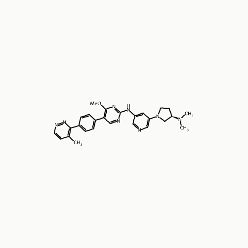 COc1nc(Nc2cncc(N3CC[C@@H](N(C)C)C3)c2)ncc1-c1ccc(-c2nnccc2C)cc1